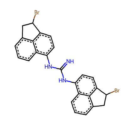 N=C(Nc1ccc2c3c(cccc13)CC2Br)Nc1ccc2c3c(cccc13)CC2Br